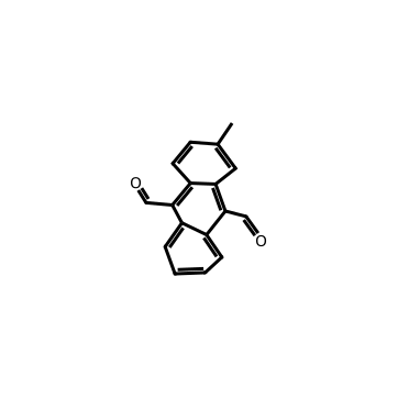 Cc1ccc2c(C=O)c3ccccc3c(C=O)c2c1